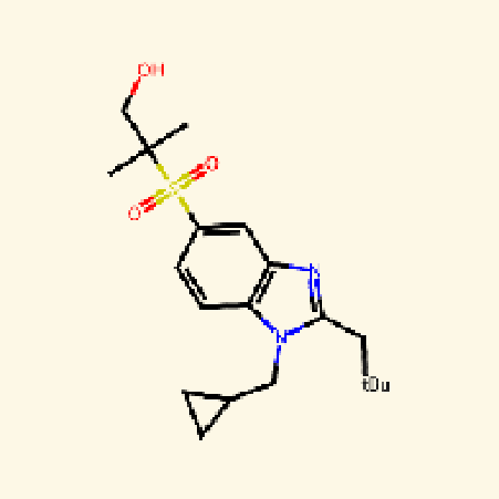 CC(C)(C)Cc1nc2cc(S(=O)(=O)C(C)(C)CO)ccc2n1CC1CC1